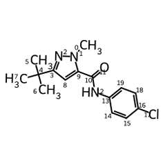 Cn1nc(C(C)(C)C)cc1C(=O)Nc1ccc(Cl)cc1